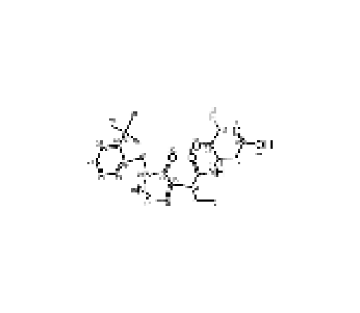 CCC(C(=O)NC(CC(=O)O)C(=O)CF)c1ccnn(Cc2ccccc2C(C)(C)C)c1=O